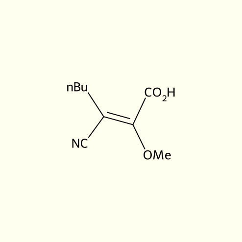 CCCC/C(C#N)=C(/OC)C(=O)O